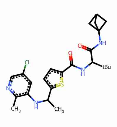 Cc1ncc(Cl)cc1NC(C)c1ccc(C(=O)NC(C(=O)NC23CC(C2)C3)C(C)(C)C)s1